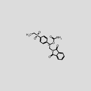 CCS(=O)(=O)c1ccc([C@H](CN2C(=O)c3ccccc3C2=O)OC(N)=O)cc1